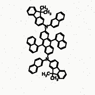 CC1(C)c2ccccc2-c2ccc(N(c3ccc4ccccc4c3)c3ccc4c(-c5cccc6ccccc56)c5cc(N(c6ccc7c(c6)C(C)(C)c6ccccc6-7)c6ccc7ccccc7c6)ccc5c(-c5cccc6ccccc56)c4c3)cc21